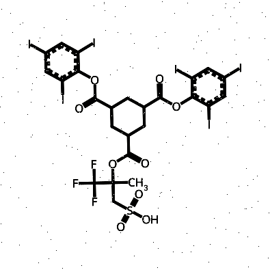 CC(CS(=O)(=O)O)(OC(=O)C1CC(C(=O)Oc2c(I)cc(I)cc2I)CC(C(=O)Oc2c(I)cc(I)cc2I)C1)C(F)(F)F